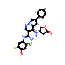 N/C(=N\c1cc(F)c(O)cc1Cl)c1cnn2cc(-c3ccccc3)cc2c1N[C@@H]1COC(=O)C1